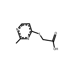 Cc1n[c]cc(SCC(=O)O)n1